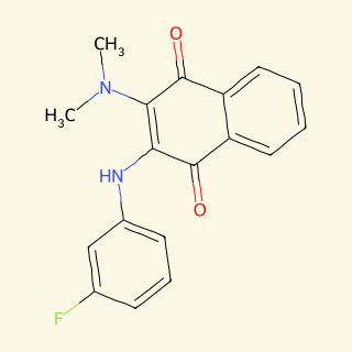 CN(C)C1=C(Nc2cccc(F)c2)C(=O)c2ccccc2C1=O